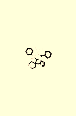 COc1ccccc1C(=O)NC(C1(c2cccs2)CCNCC1)S(=O)(=O)c1ccccc1